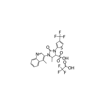 Cc1c(N2C(=O)N(c3cc(C(F)(F)F)cs3)C(S(=O)(=O)O)C2C)cnc2ccccc12.O=C(O)C(F)(F)F